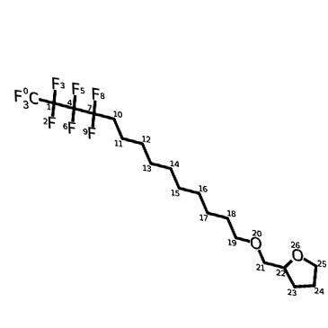 FC(F)(F)C(F)(F)C(F)(F)C(F)(F)CCCCCCCCCCOCC1CCCO1